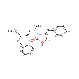 CC(C=C[C@@H](Cc1ccccc1)C(=O)O)N1C(=O)OCC1Cc1ccccc1